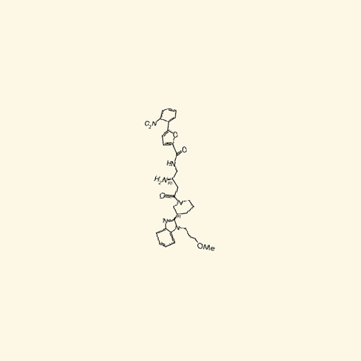 COCCCn1c([C@@H]2CCCN(C(=O)C[C@@H](N)CNC(=O)c3ccc(-c4ccccc4[N+](=O)[O-])o3)C2)nc2ccccc21